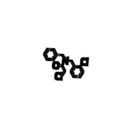 O=C(CCl)N(Cc1ccccc1)Cc1ccccc1Cl